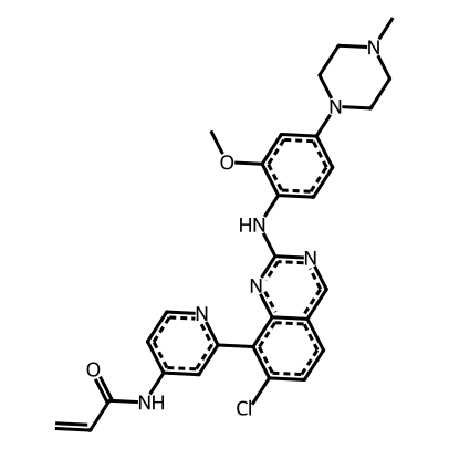 C=CC(=O)Nc1ccnc(-c2c(Cl)ccc3cnc(Nc4ccc(N5CCN(C)CC5)cc4OC)nc23)c1